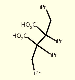 CC(C)CC(C(=O)O)(C(C)C)C(CC(C)C)(C(=O)O)C(C)C